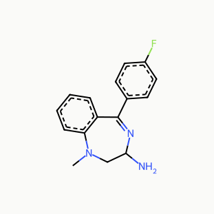 CN1CC(N)N=C(c2ccc(F)cc2)c2ccccc21